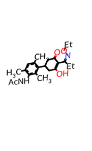 CCO/N=C(/CC)C1=C(O)CC(c2c(C)cc(C)c(NC(C)=O)c2C)CC1=O